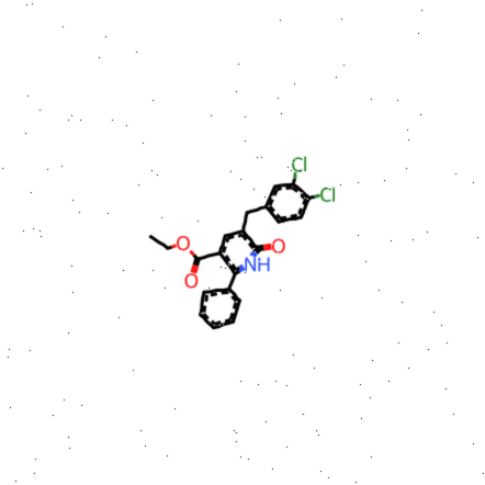 CCOC(=O)c1cc(Cc2ccc(Cl)c(Cl)c2)c(=O)[nH]c1-c1ccccc1